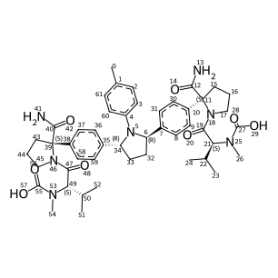 Cc1ccc(N2[C@@H](c3ccc([C@]4(C(N)=O)CCCN4C(=O)[C@H](C(C)C)N(C)C(=O)O)cc3)CC[C@@H]2c2ccc([C@]3(C(N)=O)CCCN3C(=O)[C@H](C(C)C)N(C)C(=O)O)cc2)cc1